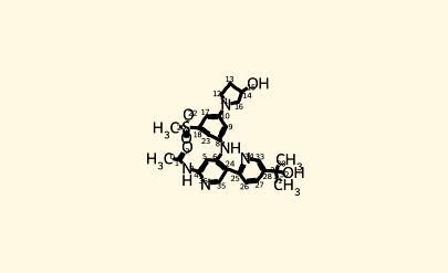 CC(=O)Nc1cc(Nc2cc(N3CCC(O)C3)cc(S(C)(=O)=O)c2)c(-c2ccc(C(C)(C)O)cn2)cn1